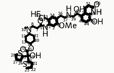 COc1cc(NC(=O)CCN(C)C2CCC(OC(=O)C(O)(c3cccs3)c3cccs3)CC2)c(Cl)cc1CCNC[C@@H](O)c1ccc(O)c2[nH]c(=O)ccc12.F